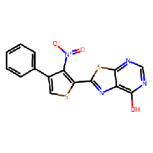 O=[N+]([O-])c1c(-c2ccccc2)csc1-c1nc2c(O)ncnc2s1